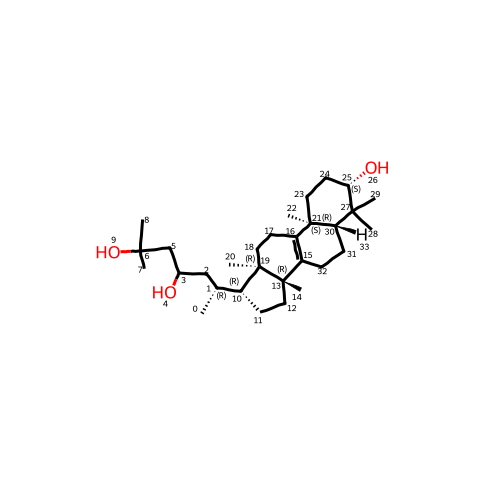 C[C@H](CC(O)CC(C)(C)O)[C@H]1CC[C@@]2(C)C3=C(CC[C@]12C)[C@@]1(C)CC[C@H](O)C(C)(C)[C@@H]1CC3